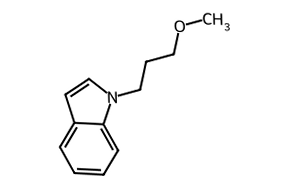 COCCCn1ccc2ccccc21